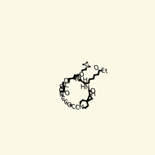 CCC(=O)CCCCC[C@@H]1NC(=O)[C@H]2CC23CCN(CCOCCn2ccc4cc(ccc4c2=O)-c2cnc1n2COCC[Si](C)(C)C)CC3